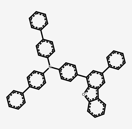 c1ccc(-c2ccc(N(c3ccc(-c4ccccc4)cc3)c3ccc(-c4cc(-c5ccccc5)cc5c4oc4ccccc45)cc3)cc2)cc1